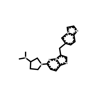 CN(C)C1CCN(c2ccc3ncc(Cc4ccc5nccn5c4)n3n2)C1